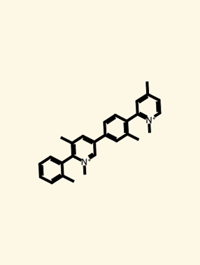 Cc1cc[n+](C)c(-c2ccc(-c3cc(C)c(-c4ccccc4C)[n+](C)c3)cc2C)c1